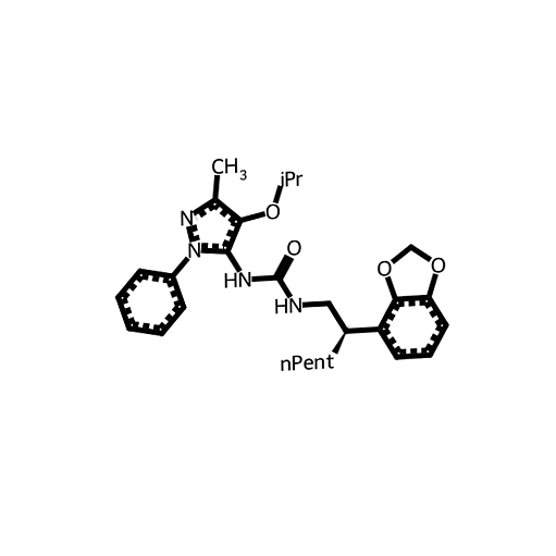 CCCCC[C@@H](CNC(=O)Nc1c(OC(C)C)c(C)nn1-c1ccccc1)c1cccc2c1OCO2